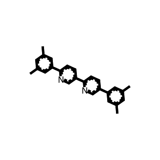 Cc1cc(C)cc(-c2ccc(-c3ccc(-c4cc(C)cc(C)c4)nc3)nc2)c1